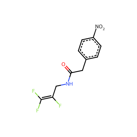 O=C(Cc1ccc([N+](=O)[O-])cc1)NCC(F)=C(F)F